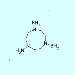 BN1CCN(B)CCN(N)CC1